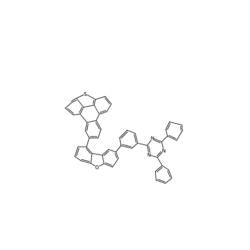 c1ccc(-c2nc(-c3ccccc3)nc(-c3cccc(-c4ccc5oc6cccc(-c7ccc8c(c7)c7cccc9sc%10cccc8c%10c97)c6c5c4)c3)n2)cc1